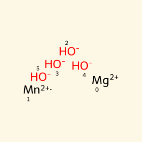 [Mg+2].[Mn+2].[OH-].[OH-].[OH-].[OH-]